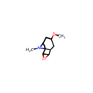 COC1CC2C3OC3C23C(C1)N3C